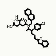 CC(C(C/C=C/c1cc2ccccc2o1)c1ccc(Cl)cc1)N(Cc1ccc2ccccc2c1)C(=O)CC(CC(=O)O)C(=O)O